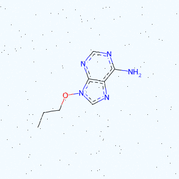 CCCOn1cnc2c(N)ncnc21